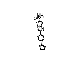 NS(=O)(=O)c1nn2cc(-c3ccc(-c4cccs4)cc3)nc2s1